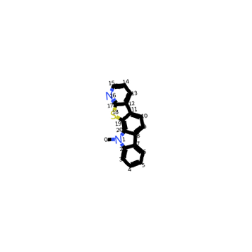 Cn1c2ccccc2c2ccc3c4cccnc4sc3c21